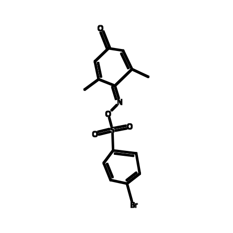 CC1=CC(=O)C=C(C)C1=NOS(=O)(=O)c1ccc(Br)cc1